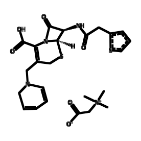 C[N+](C)(C)CC(=O)[O-].O=C(Cc1cccs1)N[C@@H]1C(=O)N2C(C(=O)O)=C(CN3C=CC=CC3)CS[C@H]12